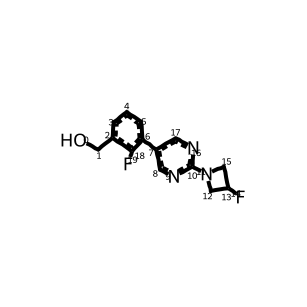 OCc1cccc(-c2cnc(N3CC(F)C3)nc2)c1F